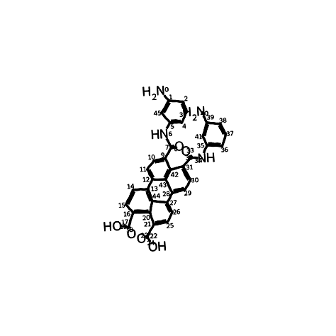 Nc1cccc(NC(=O)c2ccc3c4ccc(C(=O)O)c5c(C(=O)O)ccc(c6ccc(C(=O)Nc7cccc(N)c7)c2c36)c54)c1